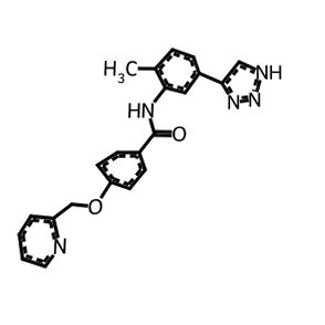 Cc1ccc(-c2c[nH]nn2)cc1NC(=O)c1ccc(OCc2ccccn2)cc1